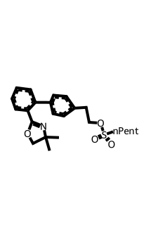 CCCCCS(=O)(=O)OCCc1ccc(-c2ccccc2C2=NC(C)(C)CO2)cc1